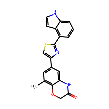 Cc1cc(-c2csc(-c3cccc4[nH]ccc34)n2)cc2c1OCC(=O)N2